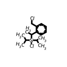 CC(C)[Si](Cl)(C(C)C)C(C)c1ccccc1CCl